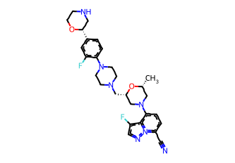 C[C@@H]1CN(c2ccc(C#N)n3ncc(F)c23)C[C@H](CN2CCN(c3ccc([C@H]4CNCCO4)cc3F)CC2)O1